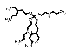 CCCNCCOC(OCCNCCN)(OCCC(CC)CCN)OCCC(CC)CCCN